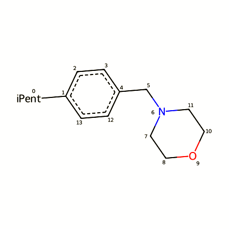 CCCC(C)c1ccc(CN2CCOCC2)cc1